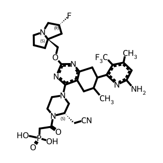 Cc1cc(N)nc(C2Cc3nc(OC[C@@]45CCCN4C[C@H](F)C5)nc(N4CCN(C(=O)CP(=O)(O)O)[C@@H](CC#N)C4)c3CC2C)c1C(F)(F)F